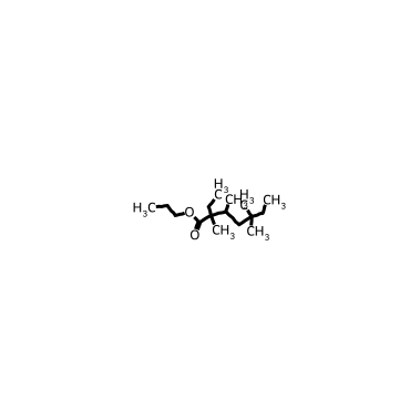 CCCOC(=O)C(C)(CC)C(C)CC(C)(C)CC